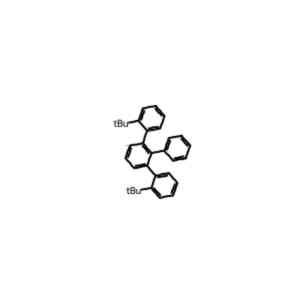 CC(C)(C)c1ccccc1-c1[c]ccc(-c2ccccc2C(C)(C)C)c1-c1ccccc1